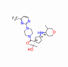 CC1COCC[C@H]1N[C@H]1CC[C@](C(=O)N2CCN(c3nccc(C(F)(F)F)n3)CC2)(C(C)(C)O)C1